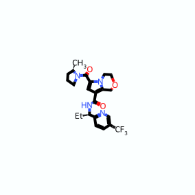 CC[C@@H](NC(=O)c1cc(C(=O)N2CCC[C@@H]2C)n2c1COCC2)c1ccc(C(F)(F)F)cn1